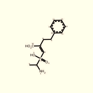 CC(N)P(=O)(O)C=C(CCc1ccccc1)C(=O)O